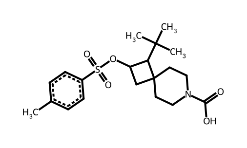 Cc1ccc(S(=O)(=O)OC2CC3(CCN(C(=O)O)CC3)C2C(C)(C)C)cc1